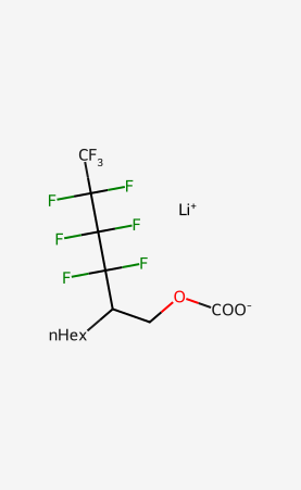 CCCCCCC(COC(=O)[O-])C(F)(F)C(F)(F)C(F)(F)C(F)(F)F.[Li+]